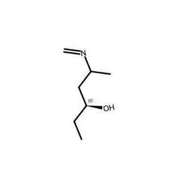 C=NC(C)C[C@@H](O)CC